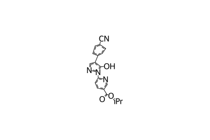 CC(C)OC(=O)c1ccc(-n2ncc(-c3ccc(C#N)cc3)c2O)nc1